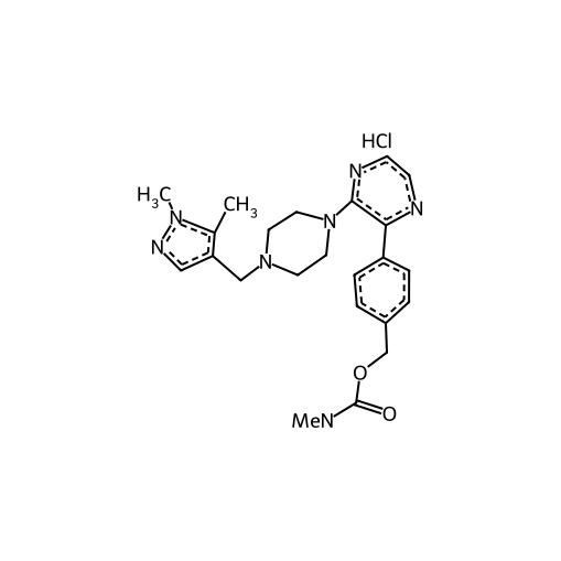 CNC(=O)OCc1ccc(-c2nccnc2N2CCN(Cc3cnn(C)c3C)CC2)cc1.Cl